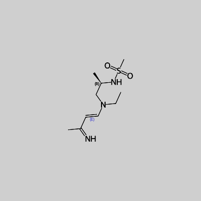 CCN(/C=C/C(C)=N)C[C@@H](C)NS(C)(=O)=O